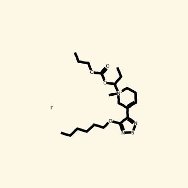 CCCCCCOc1nsnc1C1=CCC[N+](C)(C(CC)OC(=O)OCCC)C1.[I-]